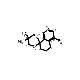 CC1(C)COC2(CCCc3c(Br)cncc32)OC1